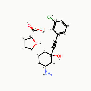 N[C@H]1CCC[C@@](O)(C#Cc2cccc(Cl)c2)C1.O=C(O)[C@H]1CCCO1